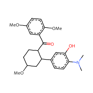 COc1ccc(OC)c(C(=O)C2CCC(OC)CC2c2ccc(N(C)C)c(O)c2)c1